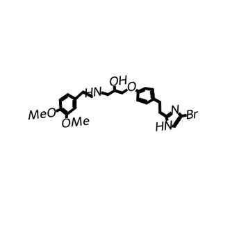 COc1ccc(CCNCC(O)COc2ccc(CCc3nc(Br)c[nH]3)cc2)cc1OC